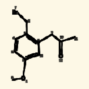 COc1ccc(CBr)c(CC(C)=O)c1